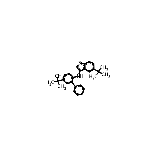 CC(C)(C)c1ccc(Nc2csc3ccc(C(C)(C)C)cc23)c(-c2ccccc2)c1